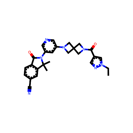 CCn1cc(C(=O)N2CC3(C2)CN(c2cncc(N4C(=O)c5ccc(C#N)cc5C4(C)C)c2)C3)cn1